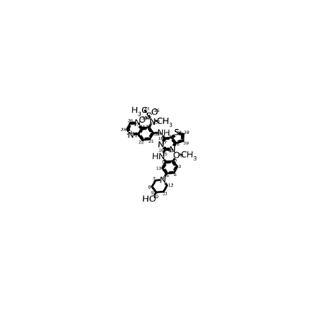 COc1ccc(N2CCC(O)CC2)cc1Nc1nc(Nc2ccc3nccnc3c2N(C)S(C)(=O)=O)c2sccc2n1